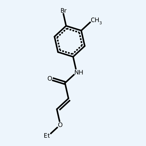 CCO/C=C/C(=O)Nc1ccc(Br)c(C)c1